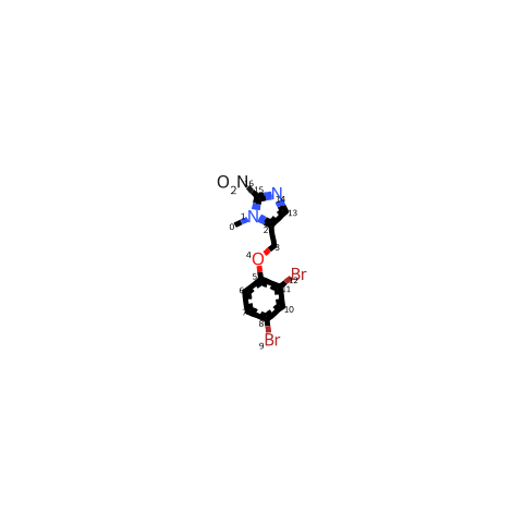 Cn1c(COc2ccc(Br)cc2Br)cnc1[N+](=O)[O-]